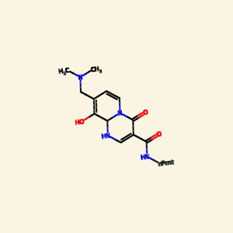 CCCCCNC(=O)C1=CNC2C(O)=C(CN(C)C)C=CN2C1=O